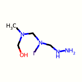 CN(CO)CN(I)CNN